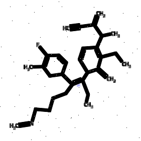 C#CC(=C)C(C)C1=C(CC)C(=C)C(/C(CC)=C(/CCCCN=C)C2C=CC(F)=C(C)C2)C=C1